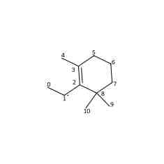 C[CH]C1=C(C)CCCC1(C)C